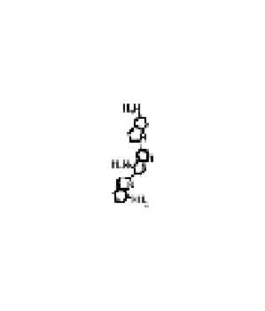 Nc1ccc2nc(-c3cnc4ccc(-c5ccc6cccc(N)c6n5)c(N)c4c3)ccc2c1